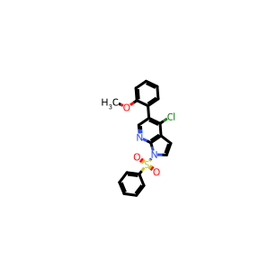 COc1ccccc1-c1cnc2c(ccn2S(=O)(=O)c2ccccc2)c1Cl